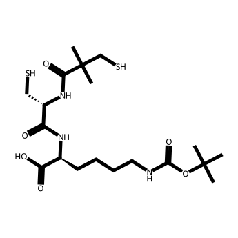 CC(C)(C)OC(=O)NCCCC[C@H](NC(=O)[C@H](CS)NC(=O)C(C)(C)CS)C(=O)O